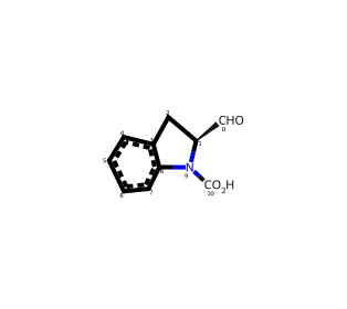 O=C[C@@H]1Cc2ccccc2N1C(=O)O